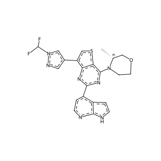 C[C@@H]1COCCN1c1nc(-c2ccnc3[nH]ccc23)nc2c(-c3cnn(C(F)F)c3)csc12